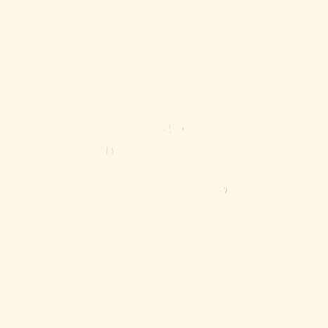 CC(C)C1CCC(C)C(C=O)C1